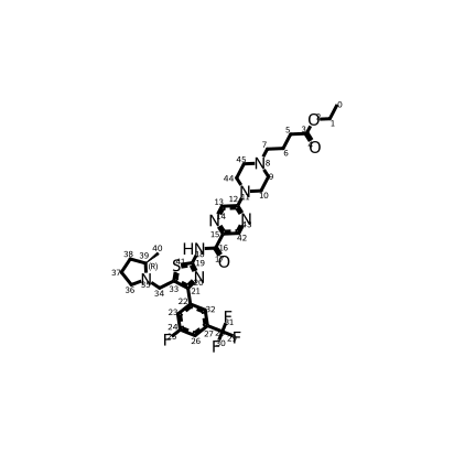 CCOC(=O)CCCN1CCN(c2cnc(C(=O)Nc3nc(-c4cc(F)cc(C(F)(F)F)c4)c(CN4CCC[C@H]4C)s3)cn2)CC1